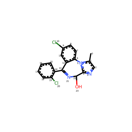 Cc1cnc2n1-c1ccc(Cl)cc1C(c1ccccc1Cl)=NC2O